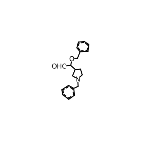 O=CC(OCc1ccccc1)C1CCN(Cc2ccccc2)C1